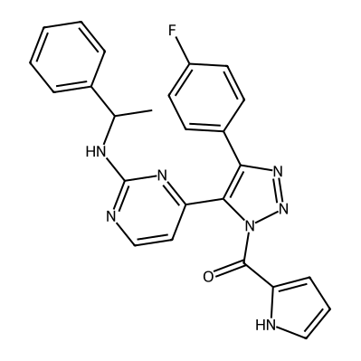 CC(Nc1nccc(-c2c(-c3ccc(F)cc3)nnn2C(=O)c2ccc[nH]2)n1)c1ccccc1